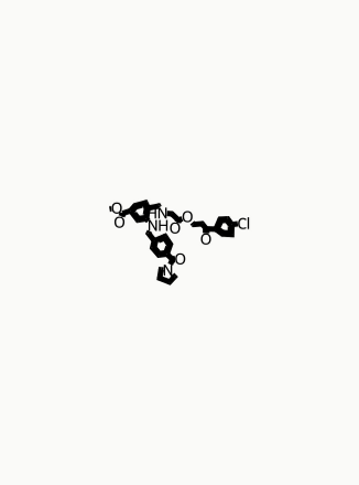 COC(=O)c1ccc(CNCC(=O)OCCC(=O)c2ccc(Cl)cc2)c(NCc2ccc(C(=O)N3CCCC3)cc2)c1